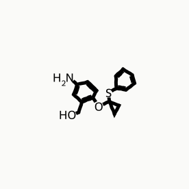 Nc1ccc(OC2(Sc3ccccc3)CC2)c(CO)c1